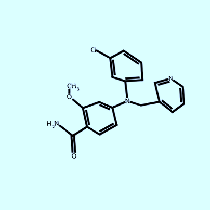 COc1cc(N(Cc2cccnc2)c2cccc(Cl)c2)ccc1C(N)=O